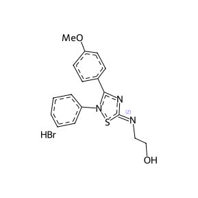 Br.COc1ccc(-c2n/c(=N/CCO)sn2-c2ccccc2)cc1